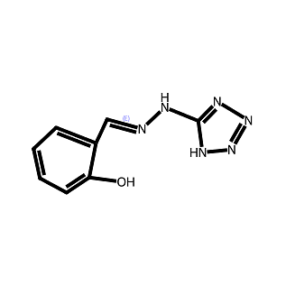 Oc1ccccc1/C=N/Nc1nnn[nH]1